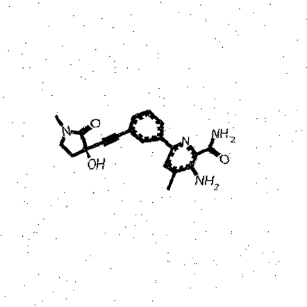 Cc1cc(-c2cccc(C#C[C@]3(O)CCN(C)C3=O)c2)nc(C(N)=O)c1N